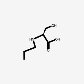 CCCN[C@@H](CO)C(=O)O